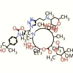 CC[C@H]1OC(=O)[C@H](C)[C@@H](O[C@H]2C[C@@](C)(OC)[C@@H](O)[C@H](C)O2)[C@H](C)[C@@H](O[C@@H]2O[C@H](C)C[C@H](N(C)CCc3cn(C[C@H]4CN(c5ccc(C(C)(C)O)cc5)C(=O)O4)nn3)[C@H]2O)[C@](C)(O)C[C@@H](C)CN(C)[C@H](C)[C@@H](O)[C@]1(C)O